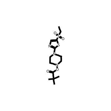 CCS(=O)(=O)c1cnc(N2CCN(OC(=O)C(C)(C)C)CC2)s1